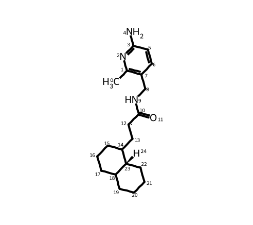 Cc1nc(N)ccc1CNC(=O)[CH]CC1CCCC2CCCC[C@@H]12